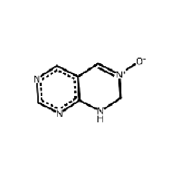 [O-][N+]1=Cc2cncnc2NC1